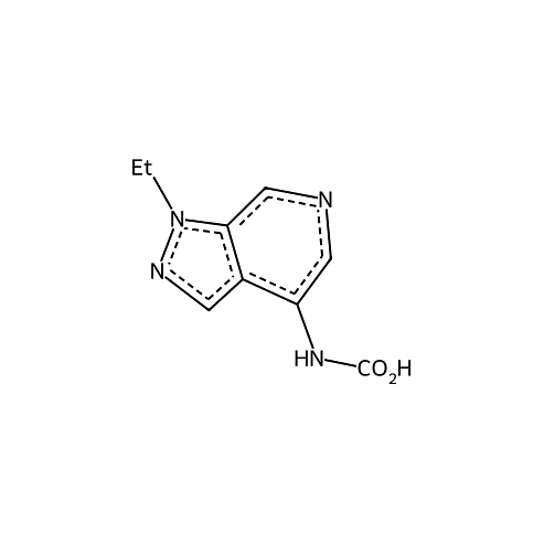 CCn1ncc2c(NC(=O)O)cncc21